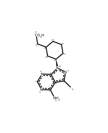 Nc1ncnc2c1c(I)nn2[C@@H]1CCCC(CC(=O)O)C1